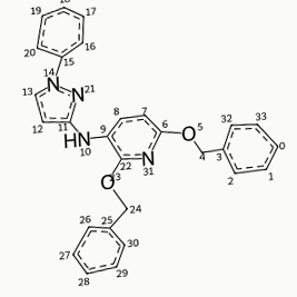 c1ccc(COc2ccc(Nc3ccn(-c4ccccc4)n3)c(OCc3ccccc3)n2)cc1